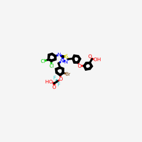 O=C(O)c1cccc(Oc2cccc(-c3nn(Cc4ccc(OC(F)(F)C(=O)O)c(Br)c4)/c(=N\c4ccc(Cl)c(Cl)c4)s3)c2)c1